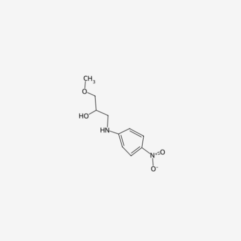 COCC(O)CNc1ccc([N+](=O)[O-])cc1